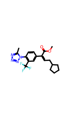 COC(=O)C(=CCC1CCCC1)c1ccc(-n2nnnc2C)c(C(F)(F)F)c1